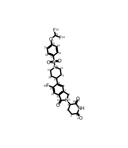 O=C1CCC(N2Cc3cc(C4CCN(S(=O)(=O)c5ccc(OC(F)F)cc5)CC4)c(F)cc3C2=O)C(=O)N1